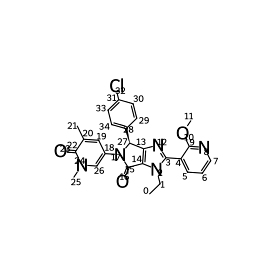 CCn1c(-c2cccnc2OC)nc2c1C(=O)N(c1cc(C)c(=O)n(C)c1)[C@H]2c1ccc(Cl)cc1